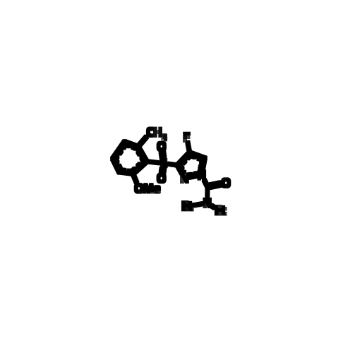 CCN(CC)C(=O)n1cc(F)c(S(=O)(=O)c2c(C)cccc2OC)n1